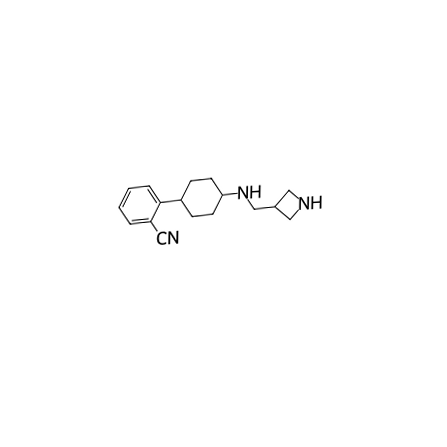 N#Cc1ccccc1C1CCC(NCC2CNC2)CC1